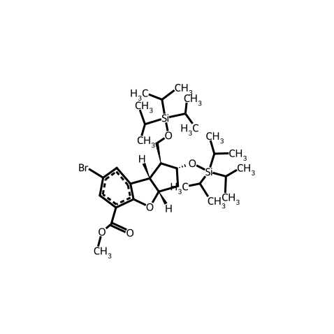 COC(=O)c1cc(Br)cc2c1O[C@H]1C[C@@H](O[Si](C(C)C)(C(C)C)C(C)C)[C@H](CO[Si](C(C)C)(C(C)C)C(C)C)[C@@H]21